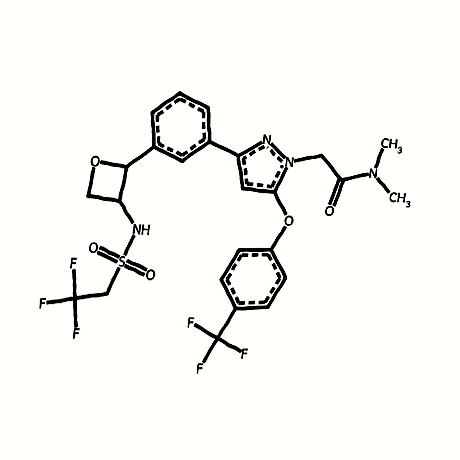 CN(C)C(=O)Cn1nc(-c2cccc(C3OCC3NS(=O)(=O)CC(F)(F)F)c2)cc1Oc1ccc(C(F)(F)F)cc1